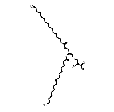 CCCCCCCCCCCCCCCC(=O)OC[C@@H](CSCC(N)C(=O)O)OC(=O)CCCCCCCCCCCCCCC